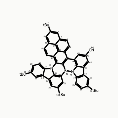 CC(C)(C)c1cc2ccc3c4c5c(c6ccc(c1)c2c36)-n1c2ccc(C(C)(C)C)cc2c2cc(C(C)(C)C)cc(c21)B5n1c2ccc(C(C)(C)C)cc2c2cc(C#N)cc-4c21